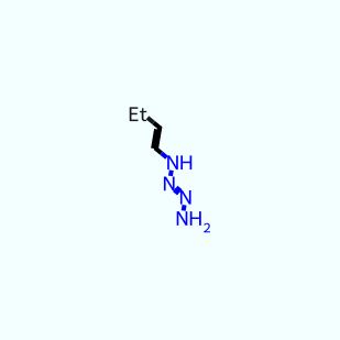 CCC=CNN=NN